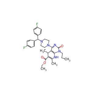 CCCn1c2c(c(N3CCN(C(c4ccc(F)cc4)c4ccc(F)cc4)CC3)nc1=O)C(C)C(C(=O)OCC)=C(C)N2